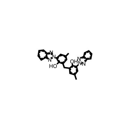 Cc1cc(Cc2cc(C)cc(-n3nc4ccccc4n3)c2O)c(O)c(-n2nc3ccccc3n2)c1